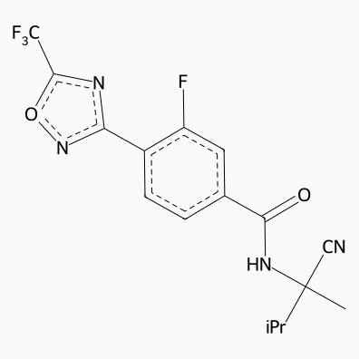 CC(C)C(C)(C#N)NC(=O)c1ccc(-c2noc(C(F)(F)F)n2)c(F)c1